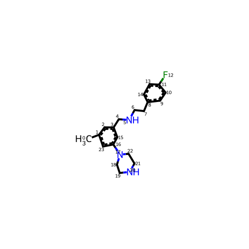 Cc1cc(CNCCc2ccc(F)cc2)cc(N2CCNCC2)c1